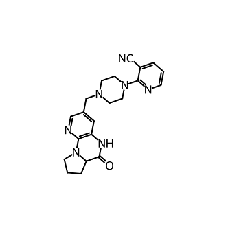 N#Cc1cccnc1N1CCN(Cc2cnc3c(c2)NC(=O)C2CCCN32)CC1